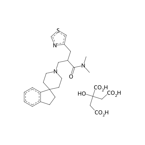 CN(C)C(=O)C(Cc1cscn1)CN1CCC2(CCc3ccccc32)CC1.O=C(O)CC(O)(CC(=O)O)C(=O)O